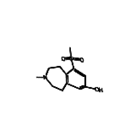 CN1CCc2cc(O)cc(S(C)(=O)=O)c2CC1